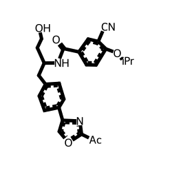 CC(=O)c1nc(-c2ccc(CC(CCO)NC(=O)c3ccc(OC(C)C)c(C#N)c3)cc2)co1